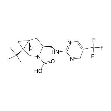 CC(C)(C)[C@@]12C[C@@H]1C[C@@H](CNc1ncc(C(F)(F)F)cn1)N(C(=O)O)C2